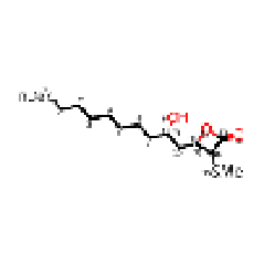 CCCCCCCCCCCCCCCCC[C@H](O)C[C@H]1OC(=O)[C@H]1SC